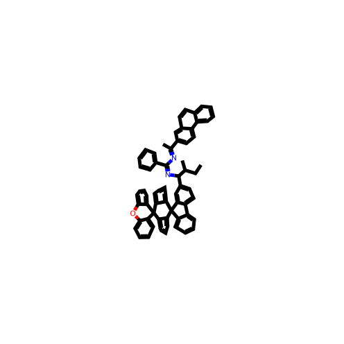 CCC(C)C(/N=C(\N=C(/C)c1ccc2c(ccc3ccccc32)c1)c1ccccc1)c1ccc2c(c1)C1(c3ccccc3-2)c2ccccc2C2(c3ccccc3Oc3ccccc32)c2ccccc21